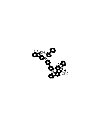 CC1(C)c2ccccc2-c2ccc(N(c3ccc(-c4ccccc4)cc3)c3ccc(-c4ccc(-n5c6ccccc6c6ccc7c(c65)-c5ccc6c(c5C7(C)C)Sc5ccccc5S6)cc4)cc3)cc21